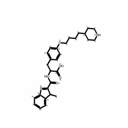 CC1C(C(=O)NC(Cc2ccc(OCCCCC3CCNCC3)cc2)C(=O)O)=Nc2ccccc21